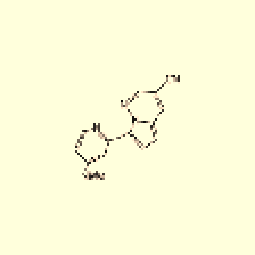 CNc1ccnc(-c2ccc3cc(C#N)cnn23)c1